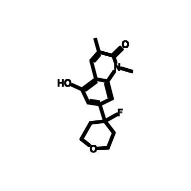 Cc1cc2c(O)cc(C3(F)CCOCC3)cc2n(C)c1=O